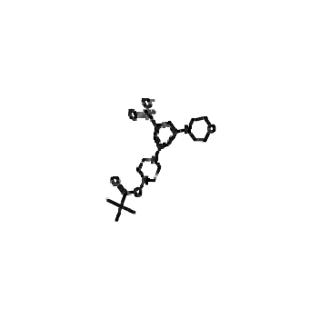 CC(C)(C)C(=O)ON1CCN(c2cc(N3CCOCC3)cc([N+](=O)[O-])c2)CC1